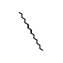 [CH2]CCCCCCC=CC=CCCCCC